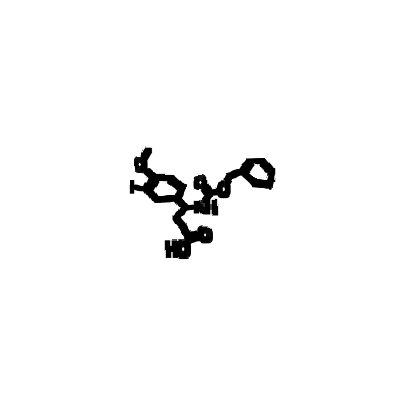 COc1ccc(C(CC(=O)O)NC(=O)OCc2ccccc2)cc1I